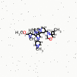 COCC1CC(C2C3CC(C4CC(CN5CCOCC56CC(C)C6)CCN4C)(CN2C)CN3C2CCN(C)CC2)N1C